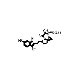 CCOC(=O)CN(C1CC1)C(C)C(=O)N1CCC[C@H]1CCc1[nH]c2cc(C#N)ccc2c1CC